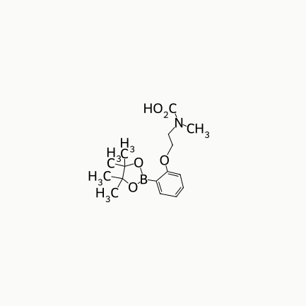 CN(CCOc1ccccc1B1OC(C)(C)C(C)(C)O1)C(=O)O